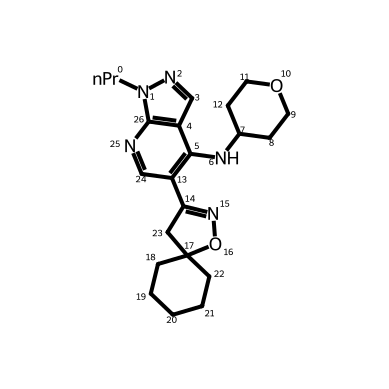 CCCn1ncc2c(NC3CCOCC3)c(C3=NOC4(CCCCC4)C3)cnc21